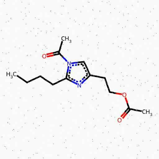 CCCCc1nc(CCOC(C)=O)cn1C(C)=O